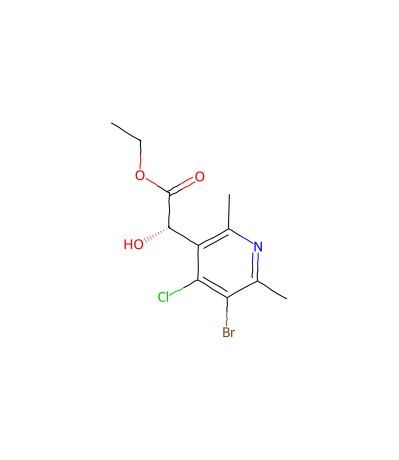 CCOC(=O)[C@@H](O)c1c(C)nc(C)c(Br)c1Cl